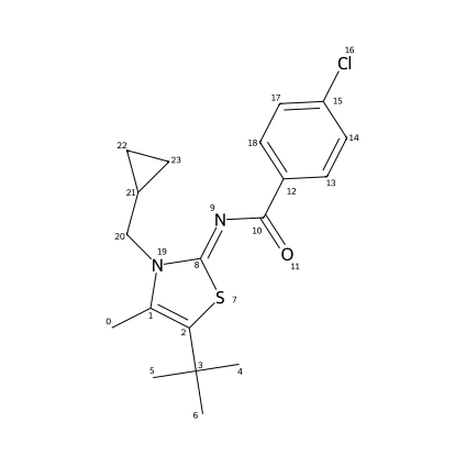 Cc1c(C(C)(C)C)s/c(=N\C(=O)c2ccc(Cl)cc2)n1CC1CC1